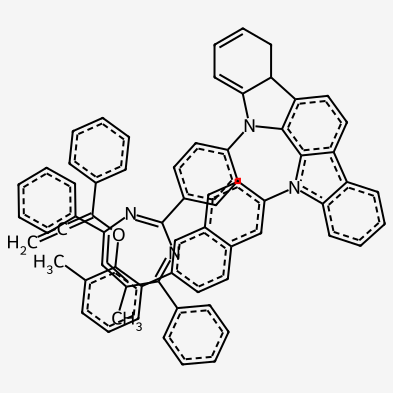 C=C=C(Oc1c(C)cccc1-c1ccc2cc(-n3c4ccccc4c4ccc5c(c43)N(c3ccc(C4=NC(c6ccccc6)=C=C(C)C(c6ccccc6)=N4)cc3)C3=CC=CCC35)ccc2c1)c1ccccc1